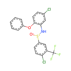 [O-][S+](Nc1cc(Cl)ccc1Oc1ccccc1)c1ccc(Cl)c(C(F)(F)F)c1